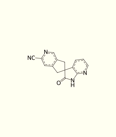 N#Cc1cc2c(cn1)CC1(C2)C(=O)Nc2ncccc21